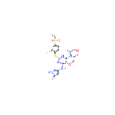 CCS(=O)(=O)c1ccc(Sc2nc(Nc3cc(C)[nH]n3)c(OC)c(N3CCOCC3C)n2)c(F)c1